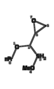 CCCOC([SiH2]OC)C1CO1